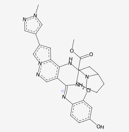 COC(=O)CN1C2CCC1CC(Nc1c(/C(N)=N/c3ccc(O)cc3Cl)cnn3cc(-c4cnn(C)c4)cc13)C2